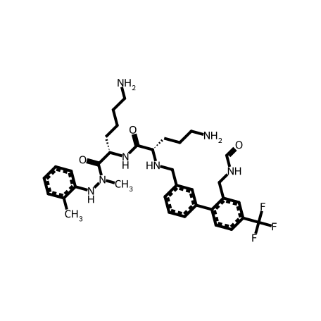 Cc1ccccc1NN(C)C(=O)[C@H](CCCCN)NC(=O)[C@H](CCCN)NCc1cccc(-c2ccc(C(F)(F)F)cc2CNC=O)c1